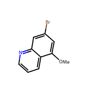 COc1cc(Br)cc2ncccc12